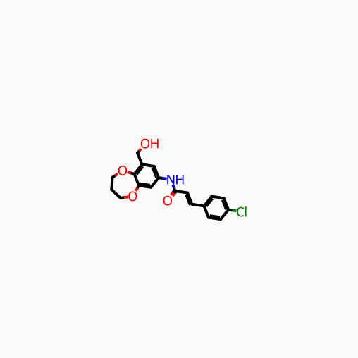 O=C(/C=C/c1ccc(Cl)cc1)Nc1cc(CO)c2c(c1)OCCCO2